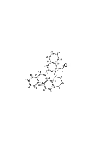 OCc1c(C2CCCc3ccc4c(ccc5ccccc54)c32)ccc2ccccc12